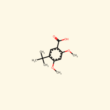 COc1cc(OC)c(C(C)(C)C)cc1C(=O)O